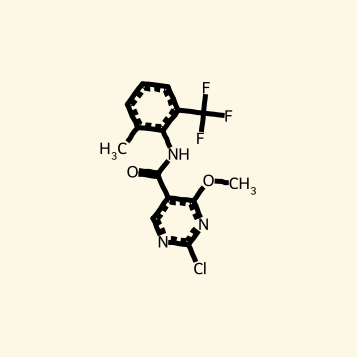 COc1nc(Cl)ncc1C(=O)Nc1c(C)cccc1C(F)(F)F